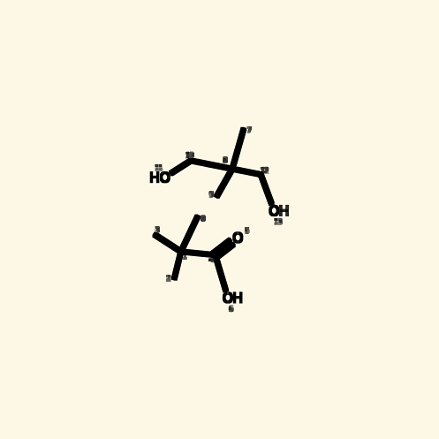 CC(C)(C)C(=O)O.CC(C)(CO)CO